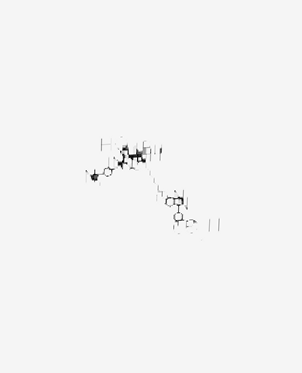 Cc1ncsc1-c1ccc(CNC(=O)[C@@H]2C[C@@H](O)CN2C(=O)[C@@H](NC(=O)CCCCCCCCCOc2ccc3c(-c4ccc(C(=O)O)c(C5CCCC5)c4)ncnc3c2)C(C)(C)C)cc1